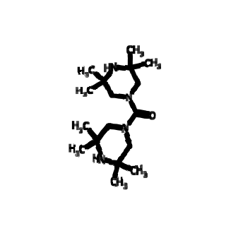 CC1(C)CN(C(=O)N2CC(C)(C)NC(C)(C)C2)CC(C)(C)N1